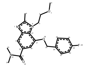 COCCn1c(C)nc2cc(C(=O)N(C)C)cc(OCc3ccc(F)cc3)c21